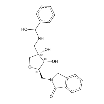 O=C1c2ccccc2CN1C[C@H]1OC[C@@](O)(CNC(O)c2ccccc2)[C@@H]1O